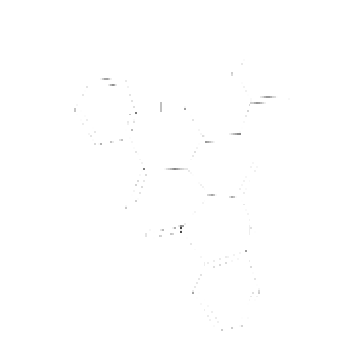 CCCCCCc1c(C(=O)OO)cc(N)c(C(=O)c2ccccc2)c1C(=O)c1ccccc1